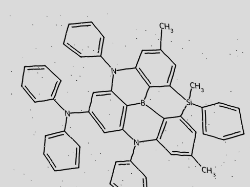 Cc1cc2c3c(c1)[Si](C)(c1ccccc1)c1cc(C)cc4c1B3c1c(cc(N(c3ccccc3)c3ccccc3)cc1N4c1ccccc1)N2c1ccccc1